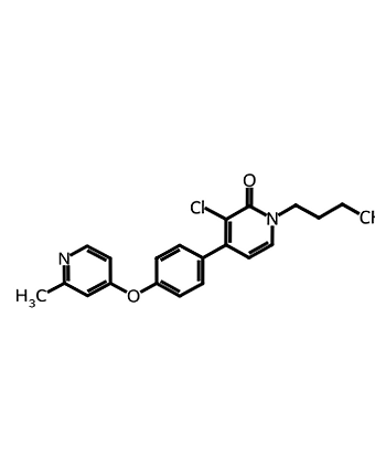 CCCCn1ccc(-c2ccc(Oc3ccnc(C)c3)cc2)c(Cl)c1=O